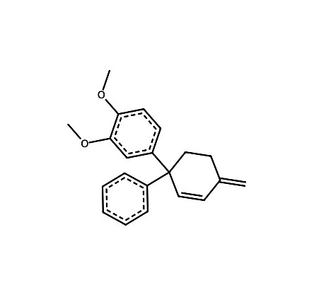 C=C1C=CC(c2ccccc2)(c2ccc(OC)c(OC)c2)CC1